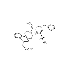 CCOC(=O)CC1CC2(CCN(C(=O)C(COCc3ccccc3)NC(=O)C(C)(C)N)CC2)c2ccccc21.Cl